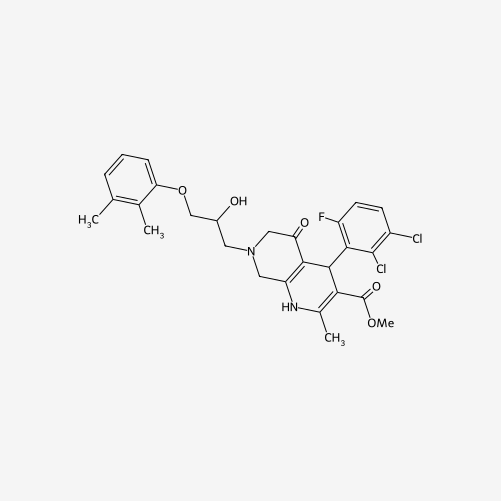 COC(=O)C1=C(C)NC2=C(C(=O)CN(CC(O)COc3cccc(C)c3C)C2)C1c1c(F)ccc(Cl)c1Cl